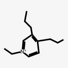 CCCc1cc[n+](CC)cc1CCC